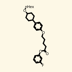 CCCCCCOC1CCC(c2ccc(OCCCCC(=O)Oc3cccc(F)c3)cc2)CC1